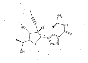 C=C1NC(N)=Nc2c1ncn2[C@@H]1OC([C@H](C)O)C(O)[C@]1(Cl)C#CC